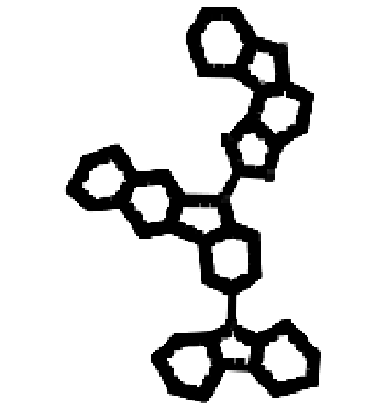 c1ccc2cc3c(cc2c1)c1cc(-n2c4ccccc4c4ccccc42)ccc1n3-c1nc2c(ccc3sc4ccccc4c32)o1